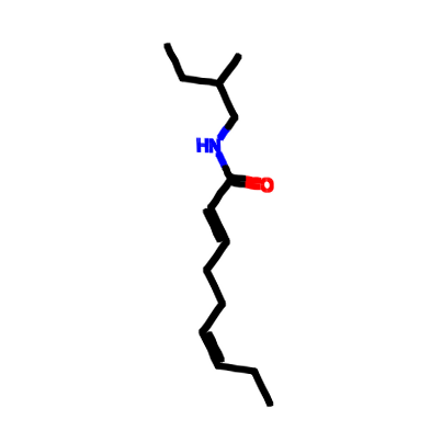 CC/C=C\CC/C=C/C(=O)NCC(C)CC